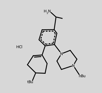 CCCCN1CCN(c2cc(C(C)N)ccc2C2=CCC(C(C)(C)C)CC2)CC1.Cl